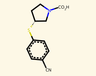 N#Cc1ccc(S[C@@H]2CCN(C(=O)O)C2)cc1